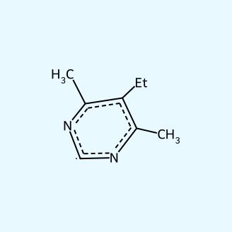 CCc1c(C)n[c]nc1C